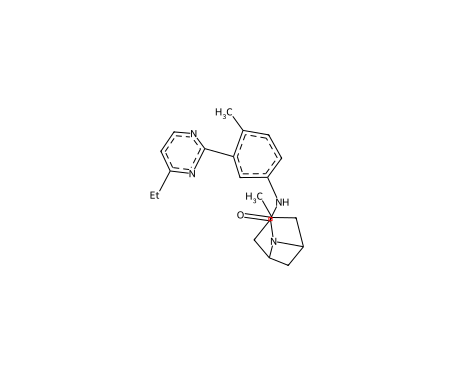 CCc1ccnc(-c2cc(NC(=O)N3C4CC(C)CC3C4)ccc2C)n1